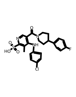 Cc1c(S(=O)(=O)O)ncc(C(=O)N2CCC(c3ccc(F)cc3)CC2)c1Nc1ccc(Cl)cc1